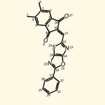 Cc1cc2c(cc1C)C(=O)C(=Cc1nc3oc(-c4ccccc4)nc3s1)C2=O